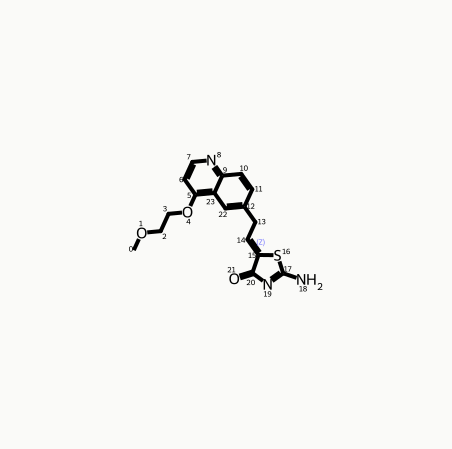 COCCOc1ccnc2ccc(C/C=C3\SC(N)=NC3=O)cc12